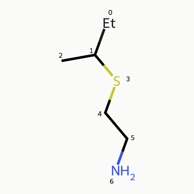 CCC(C)SCCN